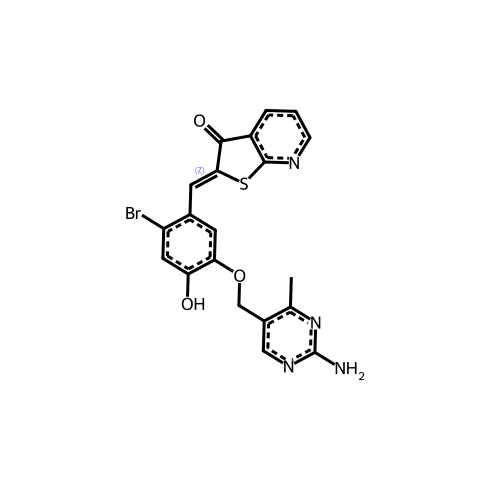 Cc1nc(N)ncc1COc1cc(/C=C2\Sc3ncccc3C2=O)c(Br)cc1O